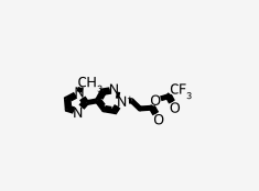 Cn1ccnc1-c1cc[n+](CCC(=O)OC(=O)C(F)(F)F)nc1